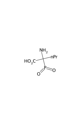 CCCC(N)(C(=O)O)P(=O)=O